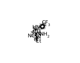 CCOc1nc(N)nc(N(C)[C@@H](C)C(=O)Nc2cccc(C(F)(F)F)c2)c1C#N